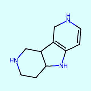 C1=CC2=C(CN1)C1CNCCC1N2